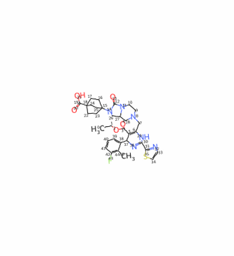 CCOC(=O)C1=C(CN2CCN3C(=O)N(C45CCC(C(=O)O)(CC4)CC5)CC3C2)NC(c2nccs2)=NC1c1cccc(F)c1C